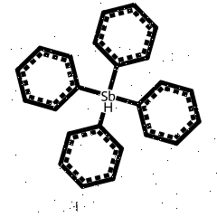 [I].c1cc[c]([SbH]([c]2ccccc2)([c]2ccccc2)[c]2ccccc2)cc1